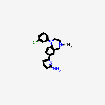 CN1CCN(c2cccc(Cl)c2)c2ccc(-c3cccc(N)n3)cc2C1